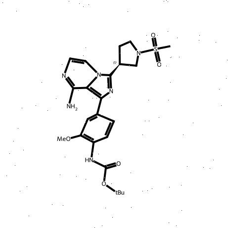 COc1cc(-c2nc([C@H]3CCN(S(C)(=O)=O)C3)n3ccnc(N)c23)ccc1NC(=O)OC(C)(C)C